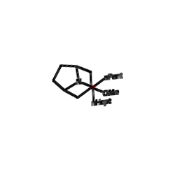 CCCCCCCC(CCCCC)N1C2CCC1CC(OC)C2